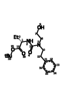 CC[C@H](NC(=O)N(CCO)CCc1ccccc1)C(=O)OC(C)(C)C